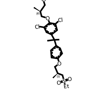 CCS(=O)(=O)C[C@@H](C)COc1ccc(C(C)(C)c2cc(Cl)c(OC[C@@H](C)CCl)c(Cl)c2)cc1